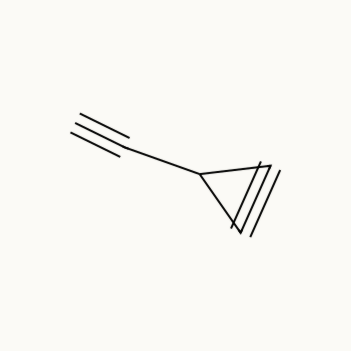 C#CC1C#C1